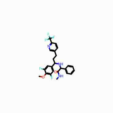 CNC(=O)C(NC(CCc1ccc(C(F)(F)F)nc1)c1cc(F)c(OC)c(F)c1)c1ccccc1